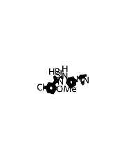 Br.COc1ccc(Cl)cc1-c1csc(Nc2cccc(-n3ccnc3)c2)n1